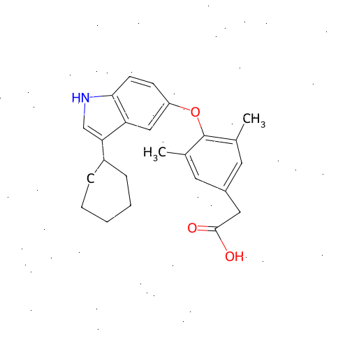 Cc1cc(CC(=O)O)cc(C)c1Oc1ccc2[nH]cc(C3CCCCC3)c2c1